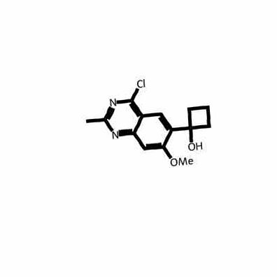 COc1cc2nc(C)nc(Cl)c2cc1C1(O)CCC1